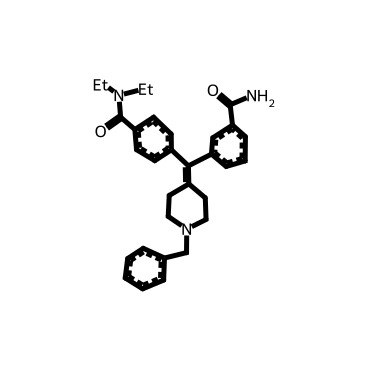 CCN(CC)C(=O)c1ccc(C(=C2CCN(Cc3ccccc3)CC2)c2cccc(C(N)=O)c2)cc1